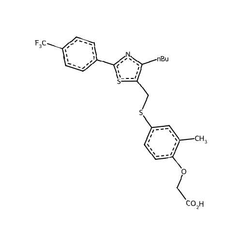 CCCCc1nc(-c2ccc(C(F)(F)F)cc2)sc1CSc1ccc(OCC(=O)O)c(C)c1